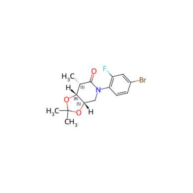 C[C@@H]1C(=O)N(c2ccc(Br)cc2F)C[C@@H]2OC(C)(C)O[C@@H]21